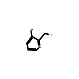 ClCc1ncccc1Br